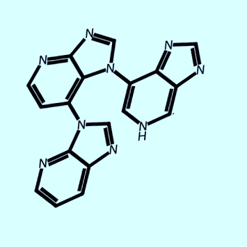 [c]1[nH]cc(-n2cnc3nccc(-n4cnc5cccnc54)c32)c2ncnc1-2